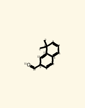 CC1(C)C=CC=C2C=CC(C=O)C=C21